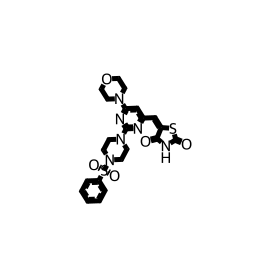 O=C1NC(=O)/C(=C\c2cc(N3CCOCC3)nc(N3CCN(S(=O)(=O)c4ccccc4)CC3)n2)S1